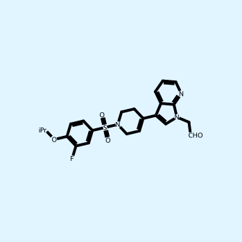 CC(C)Oc1ccc(S(=O)(=O)N2CC=C(c3cn(CC=O)c4ncccc34)CC2)cc1F